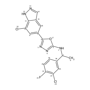 CC(Nc1nnc(-c2cc(Cl)c3[nH]ncc3c2)o1)c1ccc(F)c(Cl)c1